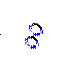 C1=CN=NN=NN=C1.C1=CN=NN=NN=C1